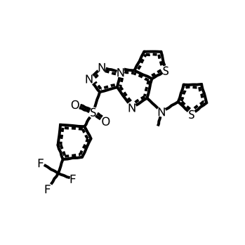 CN(c1cccs1)c1nc2c(S(=O)(=O)c3ccc(C(F)(F)F)cc3)nnn2c2ccsc12